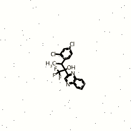 CC(c1ccc(Cl)cc1Cl)C(O)(c1cnc2ccccc2n1)C(F)(F)F